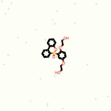 O=P1(c2cc(OCCO)ccc2OCCO)Oc2ccccc2-c2ccccc21